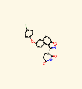 O=C1CC[C@H](c2noc3ccc4cc(Oc5ccc(F)cc5)ccc4c23)C(=O)N1